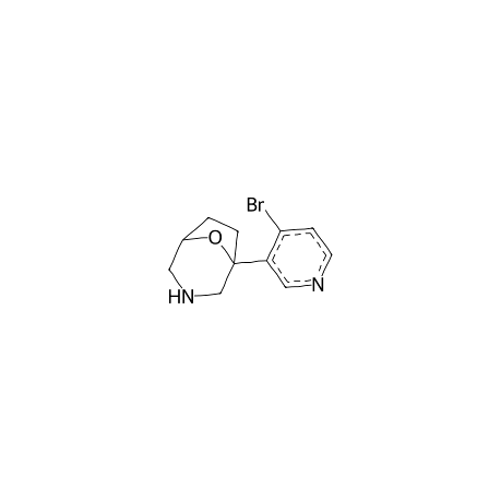 Brc1ccncc1C12CCC(CNC1)O2